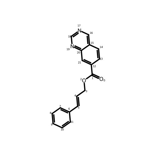 O=C(OCC=Cc1ccccc1)c1ccc2cncnc2c1